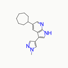 Cn1cc(-c2c[nH]c3ncc(C4CCCCCC4)cc23)cn1